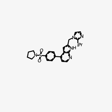 CC(C)c1nccn1Cc1cc2c(-c3ccc(S(=O)(=O)N4CCCC4)cc3)ccnc2[nH]1